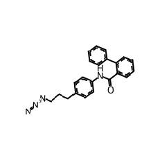 [N-]=[N+]=NCCCc1ccc(NC(=O)c2ccccc2-c2ccccc2)cc1